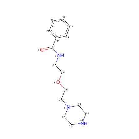 O=C(NCCOCCN1CCNCC1)c1ccccc1